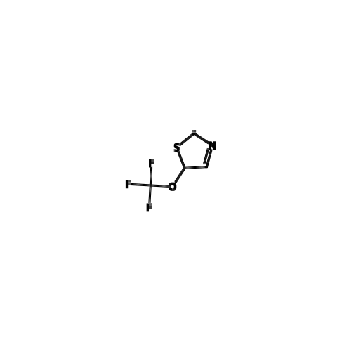 FC(F)(F)OC1C=N[C]S1